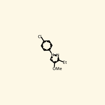 CCc1nn(-c2ccc(Cl)cc2)cc1OC